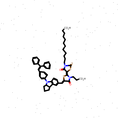 O=C(O)CCCCCCCCCCCN1C(=O)/C(=c2\s/c(=C\c3ccc4c(c3)C3CCCC3N4c3ccc(C=C(c4ccccc4)c4ccccc4)cc3)c(=O)n2CCC(=O)O)SC1=S